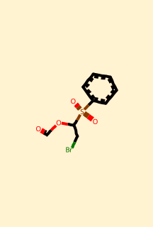 O=[C]OC(CBr)S(=O)(=O)c1ccccc1